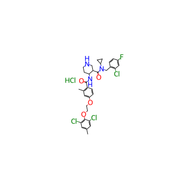 Cc1cc(Cl)c(OCCOc2ccc(C(=O)NC3CCNCC3C(=O)N(Cc3ccc(F)cc3Cl)C3CC3)c(C)c2)c(Cl)c1.Cl